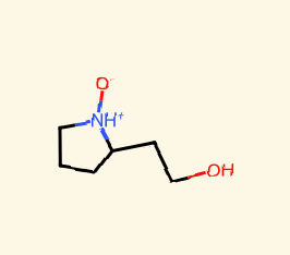 [O-][NH+]1CCCC1CCO